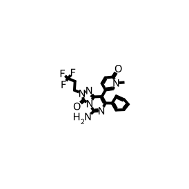 Cn1cc(-c2c(-c3ccccc3)nc(N)n3c(=O)n(CCC(F)(F)F)nc23)ccc1=O